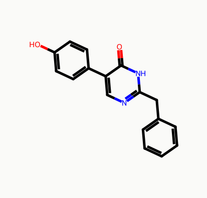 O=c1[nH]c(Cc2ccccc2)ncc1-c1ccc(O)cc1